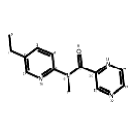 CCc1ccc(N(C)C(=O)c2cnccn2)nc1